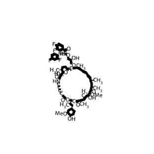 CO[C@@H]1C[C@@H](CC(C)[C@@H]2CC(=O)[C@H](C)/C=C(\C)[C@@H](O)[C@@H](OC)C(=O)[C@H](C)C[C@H](C)/C=C/C=C/C=C(/C)[C@@H](OC[C@@H](O)CONC(=O)c3ccc(F)c(F)c3Nc3ccc(I)cc3F)C[C@@H]3CC[C@@H](C)[C@@](C)(O3)C(=O)C(=O)NCCCCCC(=O)O2)CC[C@H]1O